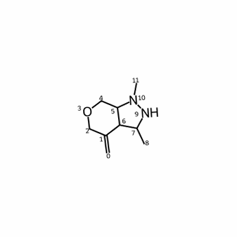 C=C1COCC2C1C(C)NN2C